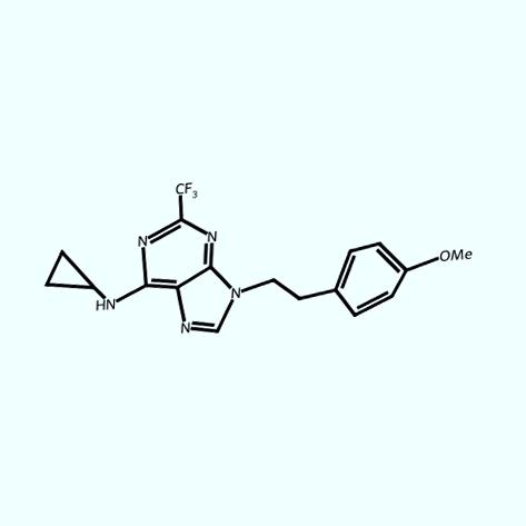 COc1ccc(CCn2cnc3c(NC4CC4)nc(C(F)(F)F)nc32)cc1